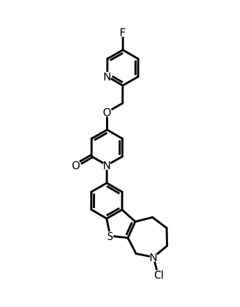 O=c1cc(OCc2ccc(F)cn2)ccn1-c1ccc2sc3c(c2c1)CCCN(Cl)C3